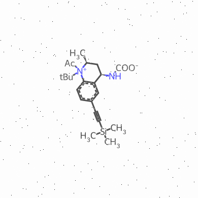 CC(=O)[N+]1(C(C)(C)C)c2ccc(C#C[Si](C)(C)C)cc2[C@H](NC(=O)[O-])C[C@@H]1C